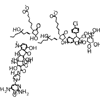 CCCCC(C)(O)C/C=C/[C@H]1[C@H](O)CC(=O)[C@@H]1CCCCCCC(=O)OC.CCCCC(C)(O)C/C=C/[C@H]1[C@H](O)CC(=O)[C@@H]1CCCCCCC(=O)OC.CN(C)c1ccc(O)c2c1C[C@H]1C[C@H]3[C@H](N(C)C)C(O)=C(C(N)=O)C(=O)[C@@]3(O)C(O)=C1C2=O.Clc1ccc(C(c2ccccc2Cl)C(Cl)Cl)cc1.Nc1cc(N2CCCCC2)nc(N)[n+]1[O-].OCCN1C[C@H](O)[C@@H](O)[C@H](O)[C@H]1CO